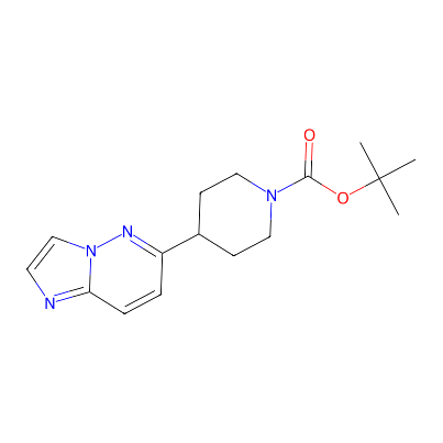 CC(C)(C)OC(=O)N1CCC(c2ccc3nccn3n2)CC1